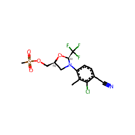 Cc1c(N2C[C@@H](COS(C)(=O)=O)O[C@H]2C(F)(F)F)ccc(C#N)c1Cl